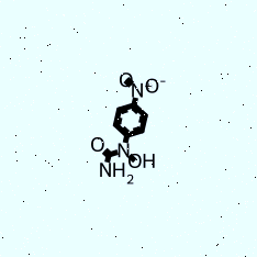 NC(=O)N(O)c1ccc([N+](=O)[O-])cc1